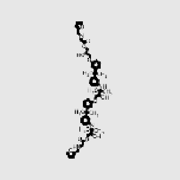 CC(C)(c1cccc(NC(C)(C)C(O)COc2cccc(C(C)(C)c3cccc(NC(C)(C)C(O)COC(=O)CNCc4ccco4)c3)c2)c1)c1cccc(OCC(O)COC(=O)CNCc2ccco2)c1